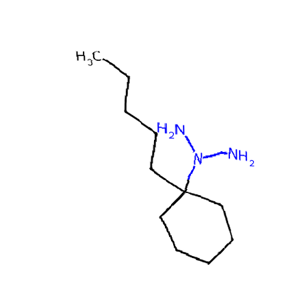 CCCCCC1(N(N)N)CCCCC1